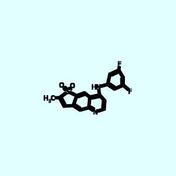 CC1=Cc2cc3nccc(Nc4cc(F)cc(F)c4)c3cc2S1(=O)=O